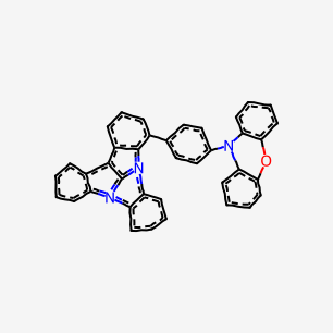 c1ccc2c(c1)Oc1ccccc1N2c1ccc(-c2cccc3c4c5ccccc5n5c6ccccc6n(c23)c45)cc1